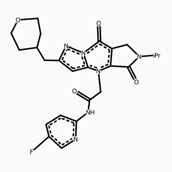 CC(C)N1Cc2c(n(CC(=O)Nc3ccc(F)cn3)c3cc(CC4CCOCC4)nn3c2=O)C1=O